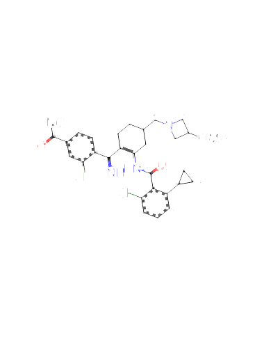 COC1CN(CC2CCC(C(=N)c3ccc(C(=O)N=O)cc3F)=C(NC(=O)c3c(Cl)cccc3C3CC3)C2)C1